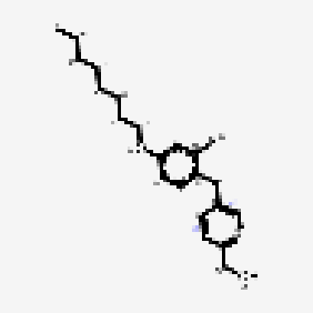 C=C(/C=C\C(=C/C)Cc1ccc(OCCCCCCCC)cc1F)CO